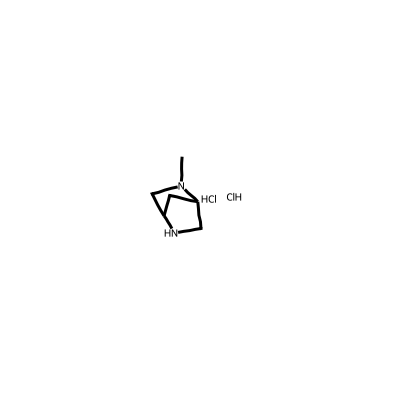 CN1CC2CC1CN2.Cl.Cl